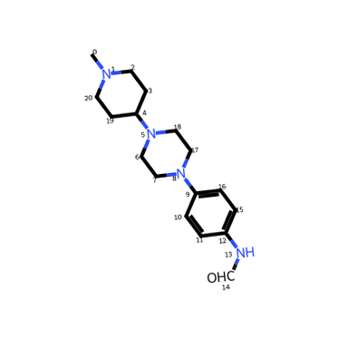 CN1CCC(N2CCN(c3ccc(NC=O)cc3)CC2)CC1